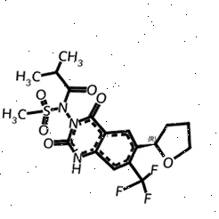 CC(C)C(=O)N(n1c(=O)[nH]c2cc(C(F)(F)F)c([C@H]3CCCO3)cc2c1=O)S(C)(=O)=O